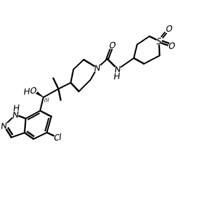 CC(C)(C1CCN(C(=O)NC2CCS(=O)(=O)CC2)CC1)[C@H](O)c1cc(Cl)cc2cn[nH]c12